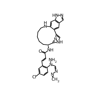 C=N/N=C\N(N)c1ccc(Cl)cc1/C=C/C(=O)N[C@H]1CCCCCNc2cc3[nH]ncc3cc2-c2c[nH]c1n2